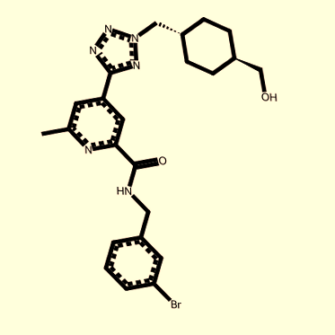 Cc1cc(-c2nnn(C[C@H]3CC[C@H](CO)CC3)n2)cc(C(=O)NCc2cccc(Br)c2)n1